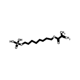 C=C(C)C(=O)OCCCCCCCCOP(=O)(O)O